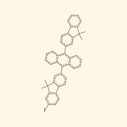 CC1(C)c2ccccc2-c2ccc(-c3c4ccccc4c(-c4ccc5c(c4)C(C)(C)c4cc(I)ccc4-5)c4ccccc34)cc21